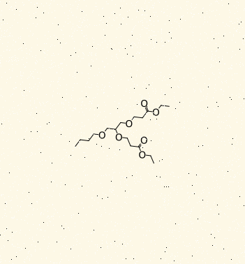 CCCCOCC(COCCC(=O)OCC)OCCC(=O)OCC